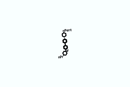 CCCCC[C@H]1CC[C@H](c2ccc(-c3ccc([C@]4(F)CC[C@H](CCC)CC4)cc3)cc2)CC1